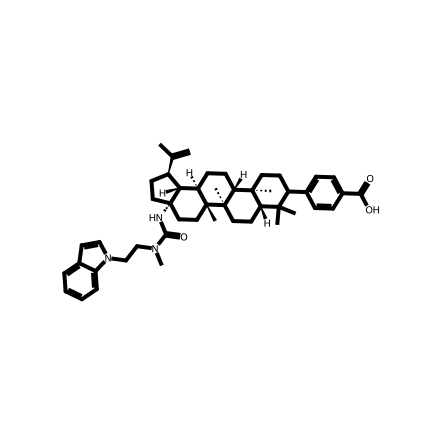 C=C(C)[C@@H]1CC[C@]2(NC(=O)N(C)CCn3ccc4ccccc43)CC[C@]3(C)[C@H](CC[C@@H]4[C@@]5(C)CCC(c6ccc(C(=O)O)cc6)C(C)(C)[C@@H]5CC[C@]43C)[C@@H]12